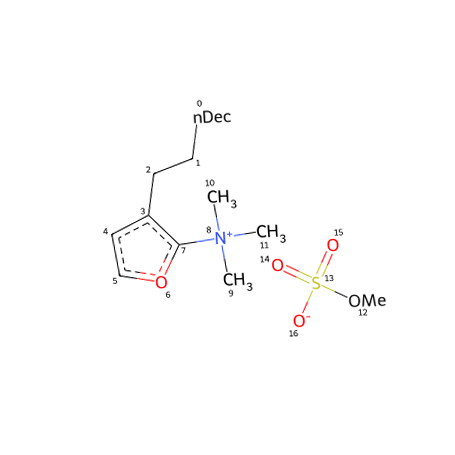 CCCCCCCCCCCCc1ccoc1[N+](C)(C)C.COS(=O)(=O)[O-]